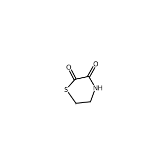 O=C1NC[CH]SC1=O